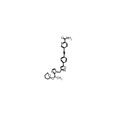 C[C@H](OC1CCCCO1)c1nccn1Cc1cc(-c2ccc(C#Cc3ccc(C(N)=O)nc3)cc2)on1